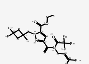 C=C(c1cc(C(=O)OCC)n(CC2(C)CC(F)(F)C2)n1)N(CC=C(F)F)C(=O)C(F)(F)F